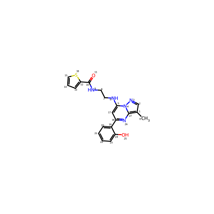 Cc1cnn2c(NCCNC(=O)c3cccs3)cc(-c3ccccc3O)nc12